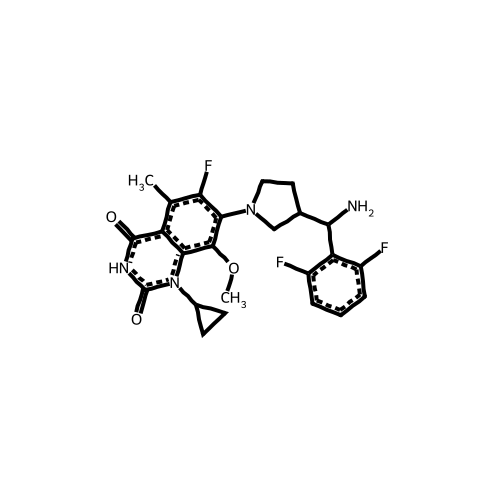 COc1c(N2CCC(C(N)c3c(F)cccc3F)C2)c(F)c(C)c2c(=O)[nH]c(=O)n(C3CC3)c12